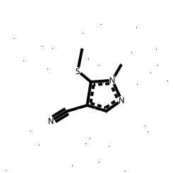 CSc1c(C#N)[c]nn1C